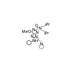 COc1nc(C(=O)N(CCC(C)C)CCC(C)C)nc2c1nc(Nc1ccccc1)n2CCCN1CCCCC1